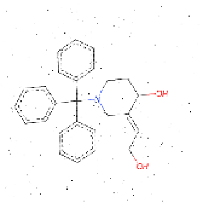 OC/C=C1\CN(C(c2ccccc2)(c2ccccc2)c2ccccc2)CCC1O